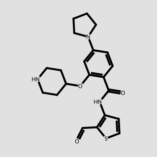 O=Cc1sccc1NC(=O)c1ccc(N2CCCC2)cc1OC1CCNCC1